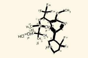 COc1ncc(C2CNCCC2(F)F)cc1C(O[Si](C)(C)C(C)(C)C)C(F)(F)F.Cl.Cl